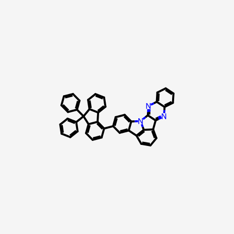 c1ccc(C2(c3ccccc3)c3ccccc3-c3c(-c4ccc5c(c4)c4cccc6c7nc8ccccc8nc7n5c46)cccc32)cc1